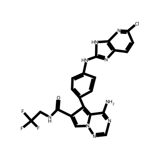 Nc1ncnn2cc(C(=O)NCC(F)(F)F)c(-c3ccc(Nc4nc5ccc(Cl)nc5[nH]4)cc3)c12